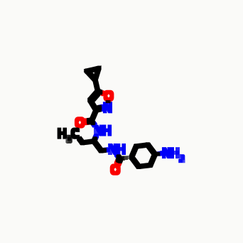 CCC(CNC(=O)[C@H]1CC[C@H](N)CC1)NC(=O)c1cc(C2CC2)on1